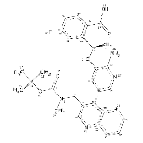 C[C@@H](Oc1cc(-c2c(CN(C)C(=O)OC(C)(C)C)cnc3cccnc23)cnc1N)c1cc(F)ccc1C(=O)O